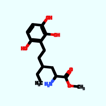 CCC(CCc1c(O)ccc(O)c1O)CC(N)C(=O)OC